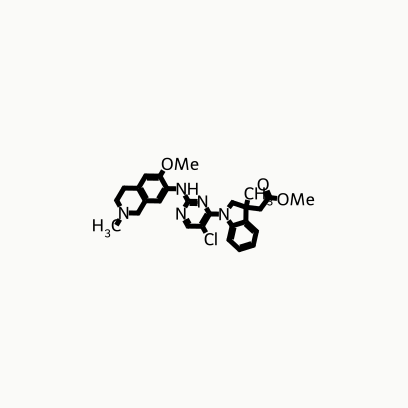 COC(=O)CC1(C)CN(c2nc(Nc3cc4c(cc3OC)CCN(C)C4)ncc2Cl)c2ccccc21